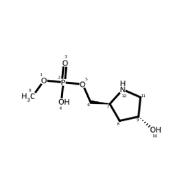 COP(=O)(O)OC[C@@H]1C[C@@H](O)CN1